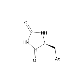 CC(=O)C[C@@H]1NC(=O)NC1=O